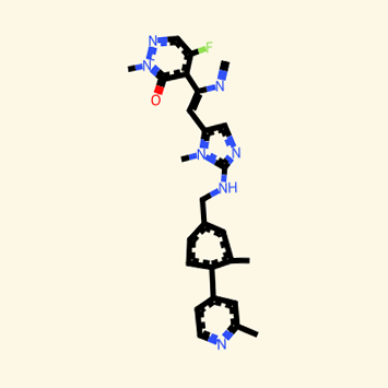 C=N/C(=C\c1cnc(NCc2ccc(-c3ccnc(C)c3)c(C)c2)n1C)c1c(F)cnn(C)c1=O